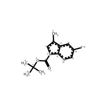 Cc1cn(C(=O)OC(C)(C)C)c2ncc(F)cc12